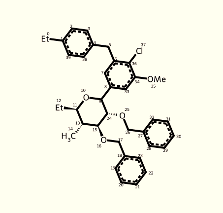 CCc1ccc(Cc2cc(C3O[C@H](CC)[C@@H](C)[C@H](OCc4ccccc4)[C@H]3OCc3ccccc3)cc(OC)c2Cl)cc1